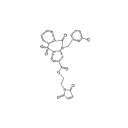 O=C(OCCN1C(=O)C=CC1=O)c1ccc2c(c1)N(Cc1cccc(Cl)c1)C(=O)c1ccccc1S2(=O)=O